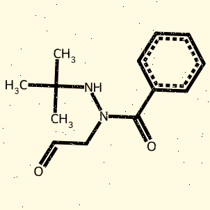 CC(C)(C)NN(CC=O)C(=O)c1ccccc1